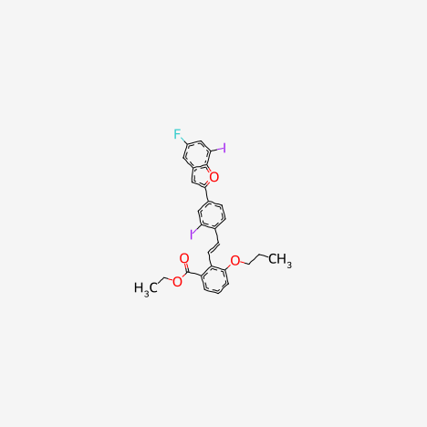 CCCOc1cccc(C(=O)OCC)c1C=Cc1ccc(-c2cc3cc(F)cc(I)c3o2)cc1I